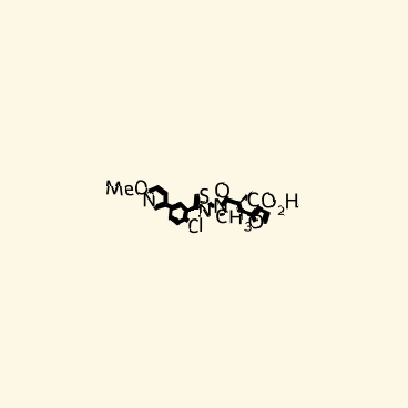 COc1ccc(-c2ccc(Cl)c(-c3csc(N(C)C(=O)[C@@H](CC(=O)O)Cc4ccco4)n3)c2)cn1